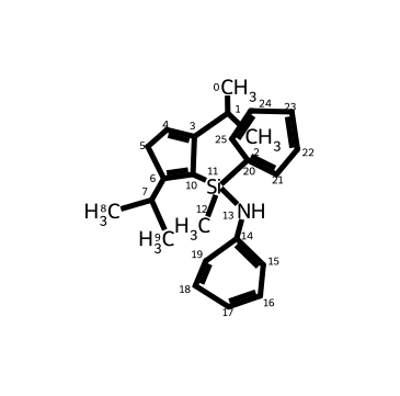 CC(C)C1=CCC(C(C)C)=C1[Si](C)(Nc1ccccc1)c1ccccc1